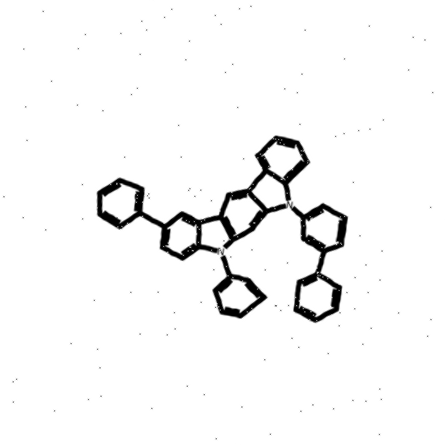 c1ccc(-c2cccc(-n3c4ccccc4c4cc5c6cc(-c7ccccc7)ccc6n(-c6ccccc6)c5cc43)c2)cc1